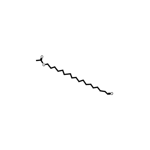 CC(=O)OCCCCCCCCCCCCCCCCCC=O